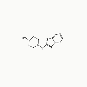 CC(C)C1CCN(Sc2nc3ccccc3s2)CC1